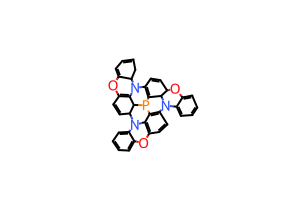 C1=CCC2C(=C1)OC1=C3C4C(C=C1)N1c5ccccc5Oc5ccc6c(c51)P4C1=C(C=CC4Oc5ccccc5N6C14)N32